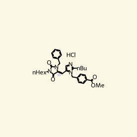 CCCCCCN1C(=O)/C(=C/c2cnc(CCCC)n2Cc2ccc(C(=O)OC)cc2)N(Cc2ccccc2)C1=O.Cl